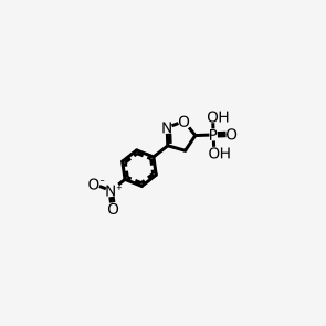 O=[N+]([O-])c1ccc(C2=NOC(P(=O)(O)O)C2)cc1